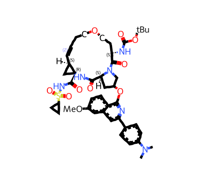 COc1ccc2c(OC3C[C@H]4C(=O)N[C@]5(C(=O)NS(=O)(=O)C6CC6)C[C@H]5/C=C\CCOCC[C@H](NC(=O)OC(C)(C)C)C(=O)N4C3)nc(-c3ccc(N(C)C)cc3)cc2c1